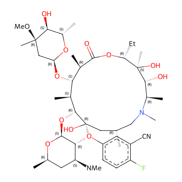 CC[C@H]1OC(=O)[C@H](C)[C@@H](O[C@H]2C[C@@](C)(OC)[C@@H](O)[C@H](C)O2)[C@H](C)[C@@H](O[C@@H]2O[C@H](C)C[C@H](NC)[C@H]2Oc2ccc(F)c(C#N)c2)[C@](C)(O)C[C@@H](C)CN(C)[C@H](C)[C@@H](O)[C@]1(C)O